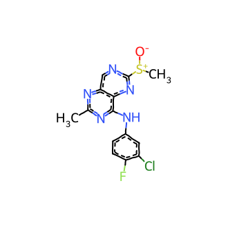 Cc1nc(Nc2ccc(F)c(Cl)c2)c2nc([S+](C)[O-])ncc2n1